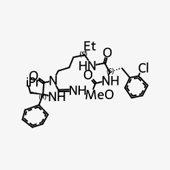 CC[C@@H](CCCN1C(=N)N[C@](CC(C)C)(c2ccccc2)C1=O)NC(=O)[C@H](Cc1ccccc1Cl)NC(=O)OC